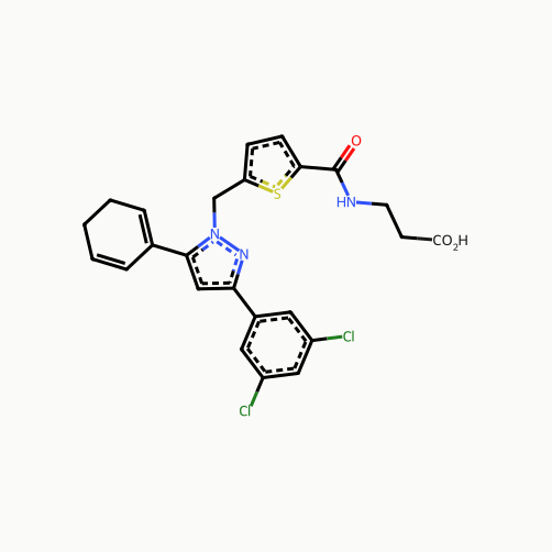 O=C(O)CCNC(=O)c1ccc(Cn2nc(-c3cc(Cl)cc(Cl)c3)cc2C2=CCCC=C2)s1